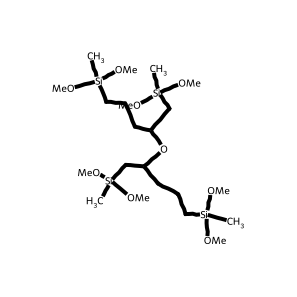 CO[Si](C)(CCCC(C[Si](C)(OC)OC)OC(CCC[Si](C)(OC)OC)C[Si](C)(OC)OC)OC